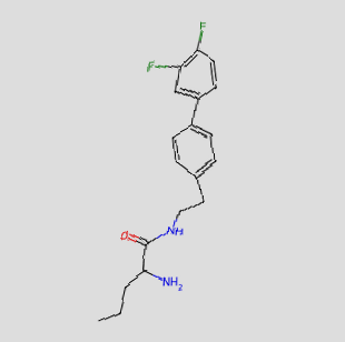 CCCC(N)C(=O)NCCc1ccc(-c2ccc(F)c(F)c2)cc1